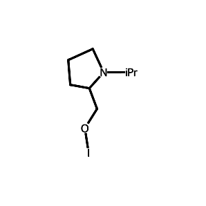 CC(C)N1CCCC1COI